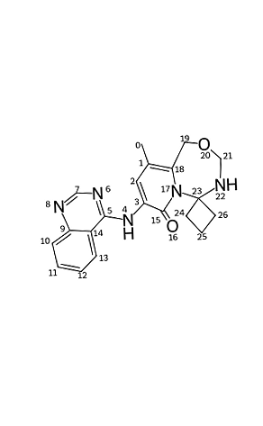 Cc1cc(Nc2ncnc3ccccc23)c(=O)n2c1COCNC21CCC1